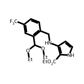 CCOC(=O)c1[nH]ccc1NCc1ccc(C(F)(F)F)cc1C(OCC)OCC